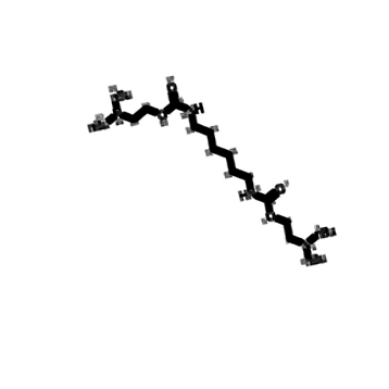 CCCCN(CCCC)CCOC(=O)NCCCCCCNC(=O)OCCN(CCCC)CCCC